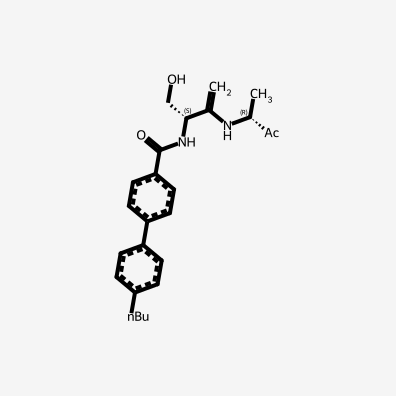 C=C(N[C@H](C)C(C)=O)[C@@H](CO)NC(=O)c1ccc(-c2ccc(CCCC)cc2)cc1